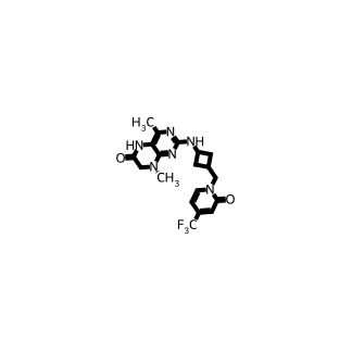 Cc1nc(NC2CC(Cn3ccc(C(F)(F)F)cc3=O)C2)nc2c1NC(=O)CN2C